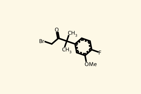 COc1cc(C(C)(C)C(=O)CBr)ccc1F